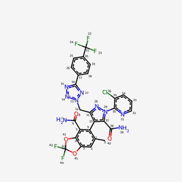 Cc1cc2c(c(C(N)=O)c1-c1c(Cn3nnc(-c4ccc(C(F)(F)F)cc4)n3)nn(-c3ncccc3Cl)c1C(N)=O)OC(F)(F)O2